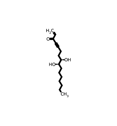 C=CC(=O)C#CCC[C@@H](O)[C@H](O)CCCCCCC